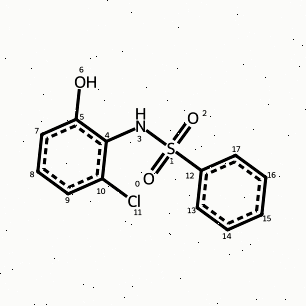 O=S(=O)(Nc1c(O)cccc1Cl)c1ccccc1